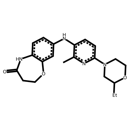 CCC1CN(c2ccc(Nc3ccc4c(c3)OCCC(=O)N4)c(C)n2)CCO1